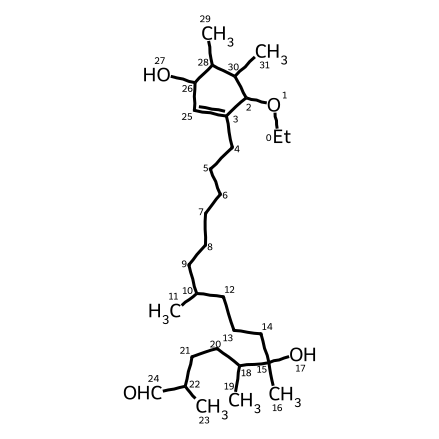 CCOC1C(CCCCCCC(C)CCCC(C)(O)C(C)CCC(C)C=O)=CC(O)C(C)C1C